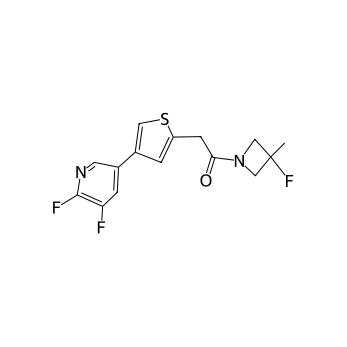 CC1(F)CN(C(=O)Cc2cc(-c3cnc(F)c(F)c3)cs2)C1